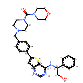 O=C(N1CCOCC1)N1CCN(Cc2ccc(-c3cc4ncnc(N[C@H](CO)c5ccccc5)c4s3)cc2)CC1